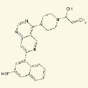 C=CC(O)N1CCN(c2ncnc3cc(-c4cc(O)cc5ccccc45)ncc23)CC1